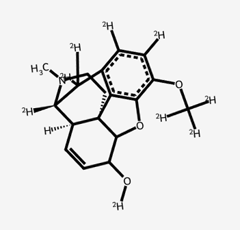 [2H]OC1C=C[C@@H]2[C@@]34CCN(C)[C@]2([2H])C([2H])([2H])c2c([2H])c([2H])c(OC([2H])([2H])[2H])c(c23)OC14